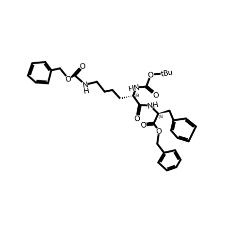 CC(C)(C)OC(=O)N[C@@H](CCCCNC(=O)OCc1ccccc1)C(=O)N[C@@H](Cc1ccccc1)C(=O)OCc1ccccc1